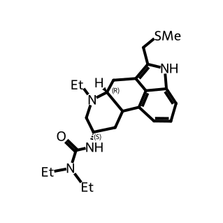 CCN(CC)C(=O)N[C@H]1CC2c3cccc4[nH]c(CSC)c(c34)C[C@H]2N(CC)C1